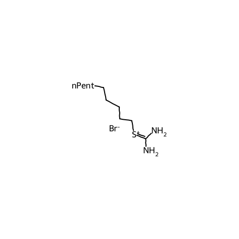 CCCCCCCCCC[S+]=C(N)N.[Br-]